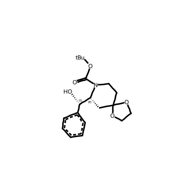 CC(C)(C)OC(=O)N1CCC2(C[C@@H]1[C@@H](O)c1ccccc1)OCCO2